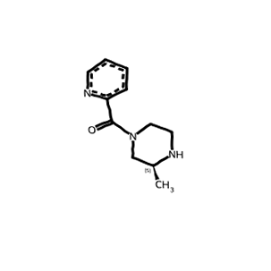 C[C@H]1CN(C(=O)c2ccccn2)CCN1